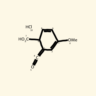 COC1=CC(=C=O)C(C(=O)O)C=C1.Cl